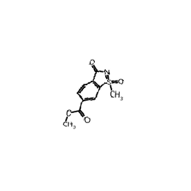 COC(=O)c1ccc2c(c1)S(C)(=O)=NC2=O